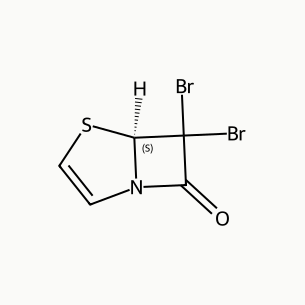 O=C1N2C=CS[C@H]2C1(Br)Br